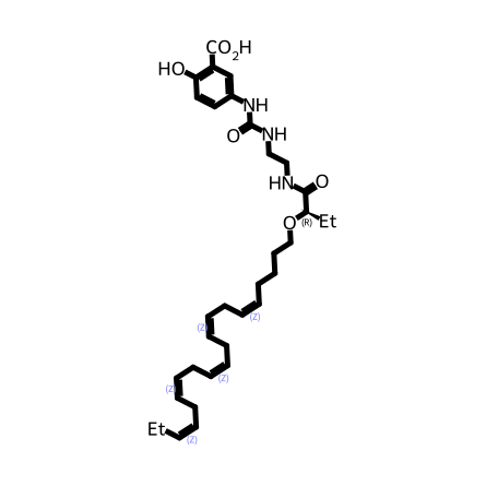 CC/C=C\C/C=C\C/C=C\C/C=C\C/C=C\CCCCO[C@H](CC)C(=O)NCCNC(=O)Nc1ccc(O)c(C(=O)O)c1